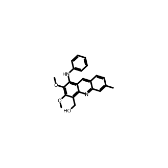 COc1c(OC)c(CO)c2nc3cc(C)ccc3cc2c1Nc1ccccc1